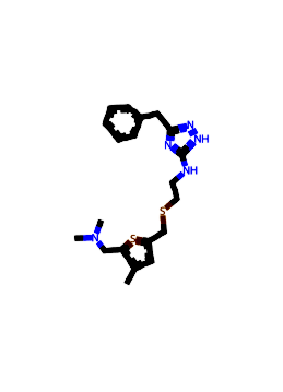 Cc1cc(CSCCNc2nc(Cc3ccccc3)n[nH]2)sc1CN(C)C